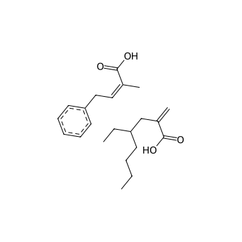 C=C(CC(CC)CCCC)C(=O)O.CC(=CCc1ccccc1)C(=O)O